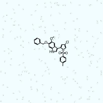 COc1cc2c(-c3cc(Cl)cn3S(=O)(=O)c3ccc(C)cc3)c[nH]c2cc1OCc1ccccc1